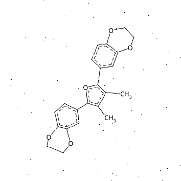 Cc1c(-c2ccc3c(c2)OCCO3)oc(-c2ccc3c(c2)OCCO3)c1C